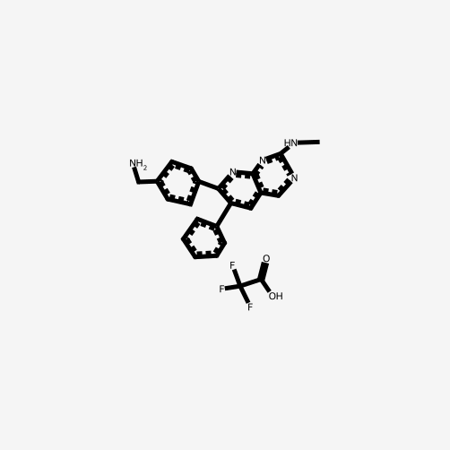 CNc1ncc2cc(-c3ccccc3)c(-c3ccc(CN)cc3)nc2n1.O=C(O)C(F)(F)F